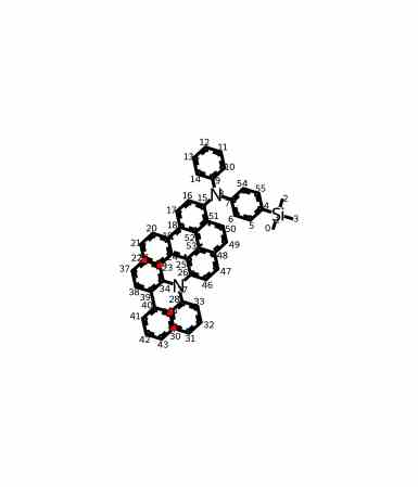 C[Si](C)(C)c1ccc(N(c2ccccc2)c2ccc3c4ccccc4c4c(N(c5ccccc5)c5ccccc5-c5ccccc5)ccc5ccc2c3c54)cc1